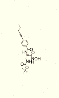 CCCC#Cc1ccc(C(=O)N[C@@H](CNC(=O)OC(C)(C)C)C(=O)NO)cc1